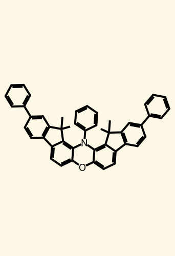 CC1(C)c2cc(-c3ccccc3)ccc2-c2ccc3c(c21)N(c1ccccc1)c1c(ccc2c1C(C)(C)c1cc(-c4ccccc4)ccc1-2)O3